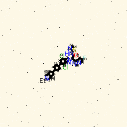 CCN1C[C@H]2CC(c3ccc(-c4cc(Cl)c5cn(C(C(=O)Nc6nccs6)c6ncn7c6C[C@@H](F)C7)nc5c4Cl)cc3)C[C@H]2C1